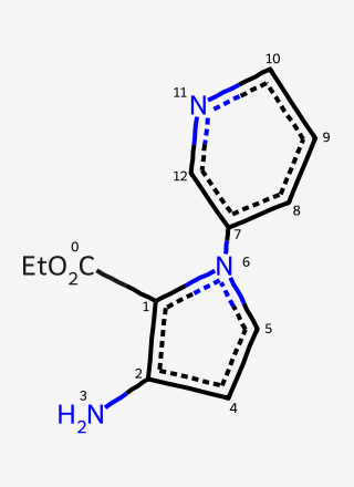 CCOC(=O)c1c(N)ccn1-c1cccnc1